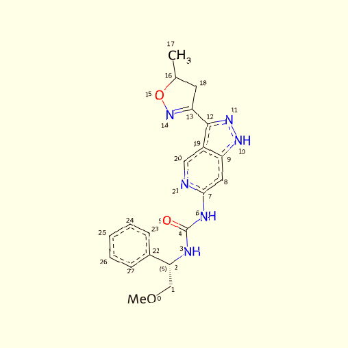 COC[C@@H](NC(=O)Nc1cc2[nH]nc(C3=NOC(C)C3)c2cn1)c1ccccc1